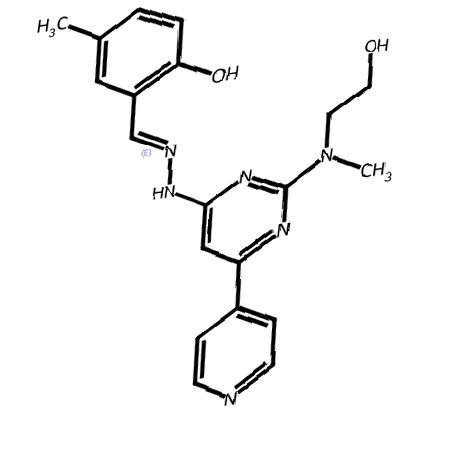 Cc1ccc(O)c(/C=N/Nc2cc(-c3ccncc3)nc(N(C)CCO)n2)c1